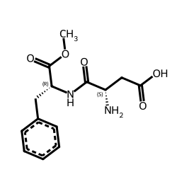 COC(=O)[C@@H](Cc1ccccc1)NC(=O)[C@@H](N)CC(=O)O